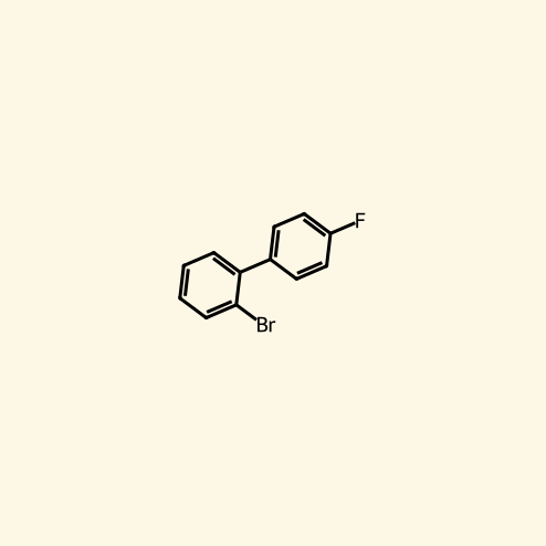 Fc1ccc(-c2ccccc2Br)cc1